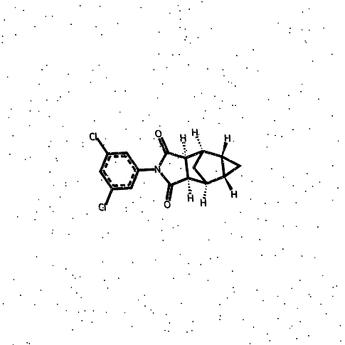 O=C1[C@@H]2[C@H]3C[C@H]([C@@H]4C[C@@H]43)[C@@H]2C(=O)N1c1cc(Cl)cc(Cl)c1